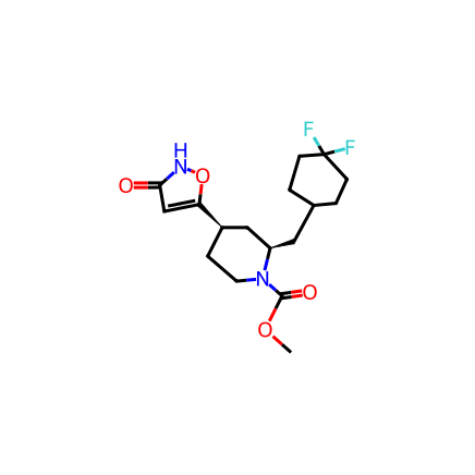 COC(=O)N1CC[C@@H](c2cc(=O)[nH]o2)C[C@H]1CC1CCC(F)(F)CC1